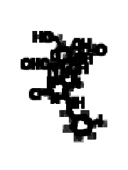 O=CN[C@@]1(O)[C@H](O)[C@@H](CO)O[C@@]1(NC=O)n1cnc2c(NCc3cccc(I)c3)nc(Cl)nc21